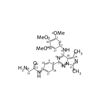 COc1cc(Nc2nc(-c3ccc(NC(=O)CN)cc3)nn3c(C)nc(C)c23)cc(OC)c1OC